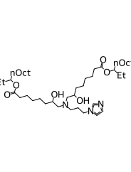 CCCCCCCCC(CC)OC(=O)CCCCCC(O)CN(CCCn1ccnc1)CC(O)CCCCCC(=O)OC(CC)CCCCCCCC